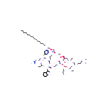 CC(=O)N[C@@H](CCS)C(=O)N[C@@H](Cc1c[nH]cn1)C(=O)N[C@H](Cc1ccccc1)C(=O)N[C@@H](CCCNC(=N)N)C(=O)N[C@@H](Cc1c[nH]c2ccccc12)C(=O)N[C@@H](CS)C(=O)N[C@@H](CO)C(=O)N1CCC[C@H]1C(=O)N[C@@H](CCCCN)C(=O)N[C@@H](CCC(=O)O)C(=O)N[C@@H](CCCCN(CC(=O)O)CC(=O)O)C(=O)N[C@@H](CCCCNC(=O)COCCOCCNC(=O)CCCCCCCCCCCCCCC(=O)O)C(N)=O